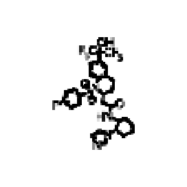 O=C(C[C@@H]1CCc2cc(C(O)(C(F)(F)F)C(F)(F)F)ccc2N1S(=O)(=O)c1ccc(F)cc1)N[C@H]1CCCC[C@H]1n1ccnc1